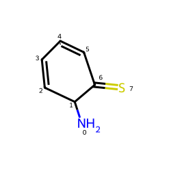 NC1C=C[C]=CC1=S